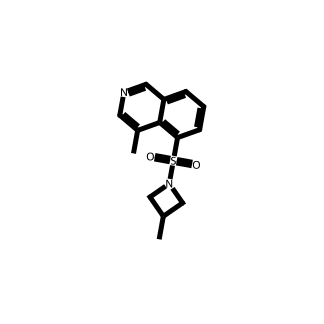 Cc1cncc2cccc(S(=O)(=O)N3CC(C)C3)c12